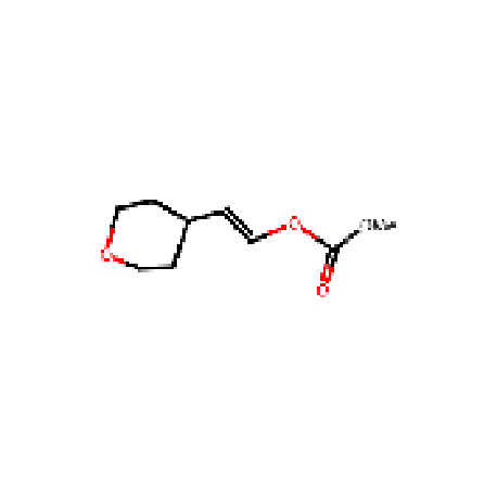 COC(=O)OC=CC1CCOCC1